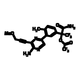 COCC#Cc1nc(-c2cc(C(OC(=O)C(F)(F)F)(C(N)=O)C(F)(F)F)ccc2C)cnc1N